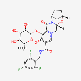 O=C(NCc1c(F)cc(F)cc1F)c1cn2c(c(O[C@@H]3O[C@H](C(=O)O)[C@@H](O)[C@H](O)[C@H]3O)c1=O)C(=O)N1C3CC[C@@H](C3)O[C@@H]1C2